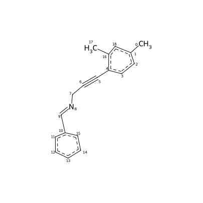 Cc1ccc(C#CCN=Cc2ccccc2)c(C)c1